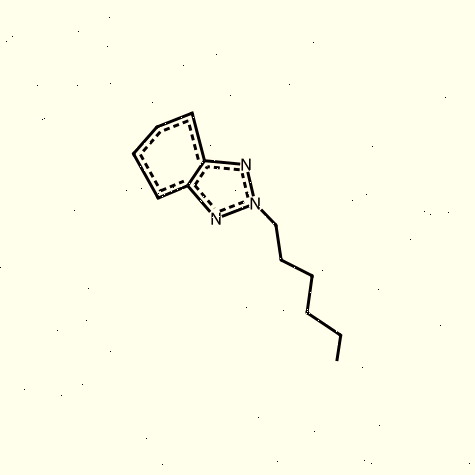 CCCCCCn1nc2ccccc2n1